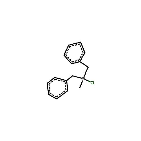 C[Si](Cl)(Cc1ccccc1)Cc1ccccc1